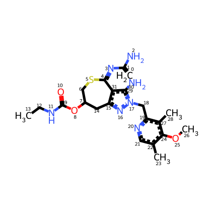 C=C(N)/N=C1/SCC(OC(=O)NCC)Cc2nn(Cc3ncc(C)c(OC)c3C)c(N)c21